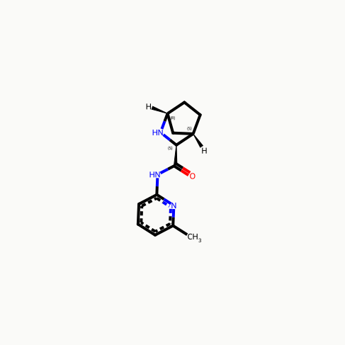 Cc1cccc(NC(=O)[C@H]2N[C@@H]3CC[C@H]2C3)n1